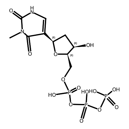 Cn1c(=O)[nH]cc([C@H]2C[C@@H](O)[C@@H](COP(=O)(O)OP(=O)(O)OP(=O)(O)O)O2)c1=O